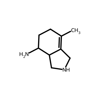 CC1=C2CNCC2C(N)CC1